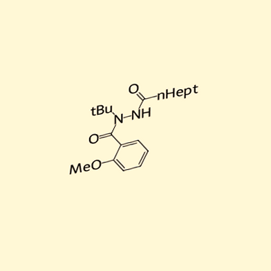 CCCCCCCC(=O)NN(C(=O)c1ccccc1OC)C(C)(C)C